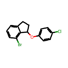 Clc1ccc(OC2CCc3cccc(Br)c32)cc1